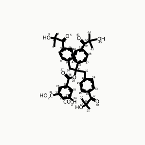 CC(C)(O)C(=O)c1ccc(CC(Cc2ccc(C(=O)C(C)(C)O)cc2)(OC(=O)c2cc(C(=O)O)cc(C(=O)O)c2)c2ccc(C(=O)C(C)(C)O)cc2)cc1